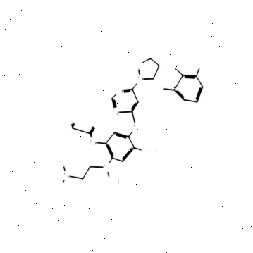 C=CC(=O)Nc1cc(Nc2cc(N3OCC[C@@H]3Cc3cccc(Cl)c3F)ncn2)c(OC)cc1N(C)CCN(C)C